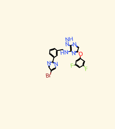 N=Nc1ncc(Oc2cc(F)cc(F)c2)nc1NCc1cccc(-c2ncc(Br)cn2)c1